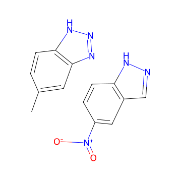 Cc1ccc2[nH]nnc2c1.O=[N+]([O-])c1ccc2[nH]ncc2c1